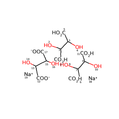 O=C(O)C(O)C(O)C(=O)O.O=C(O)C(O)C(O)C(=O)O.O=C([O-])C(O)C(O)C(=O)[O-].[Na+].[Na+]